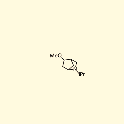 COC1CC2CC1CN2C(C)C